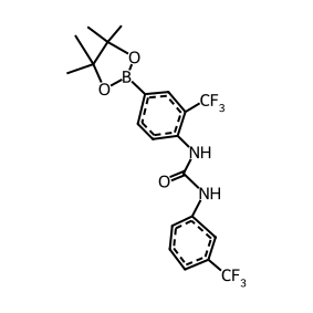 CC1(C)OB(c2ccc(NC(=O)Nc3cccc(C(F)(F)F)c3)c(C(F)(F)F)c2)OC1(C)C